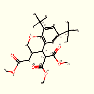 COC(=O)CC1COc2c(cc(C(C)(C)C)cc2C(C)(C)C)C1C(C(=O)OC)C(=O)OC